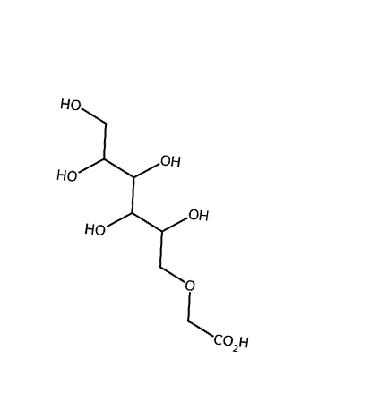 O=C(O)COCC(O)C(O)C(O)C(O)CO